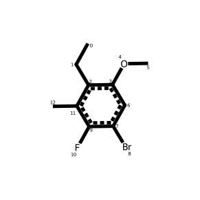 CCc1c(OC)cc(Br)c(F)c1C